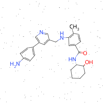 Cc1ccc(C(=O)N[C@H]2CCCC[C@@H]2O)cc1NCc1cncc(-c2ccc(N)cc2)c1